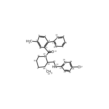 Cc1ccc(-c2ncccn2)c(C(=O)N2CCC[C@@H](C)C2CNc2ccc(Cl)cn2)c1